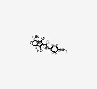 CC(C)(C)[C@H]1OC[C@]2(C)C(O)=C(C(=O)Nc3ccc(N)cc3)C(=O)N12